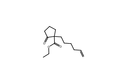 C=CCCCCC1(C(=O)OCC)CCCC1=O